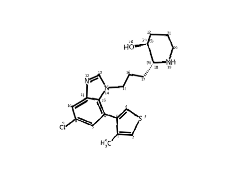 Cc1cscc1-c1cc(Cl)cc2ncn(CCC[C@H]3NCCC[C@@H]3O)c12